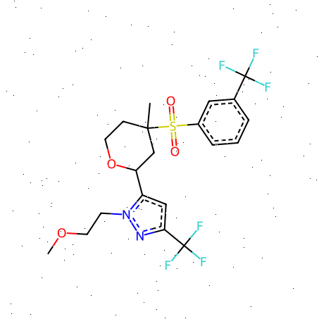 COCCn1nc(C(F)(F)F)cc1C1CC(C)(S(=O)(=O)c2cccc(C(F)(F)F)c2)CCO1